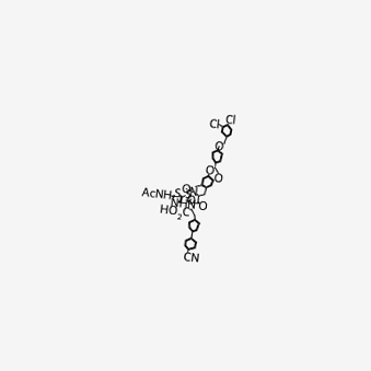 CC(=O)Nc1ncc(S(=O)(=O)N2Cc3cc4c(cc3CC2C(=O)N[C@@H](Cc2ccc(-c3ccc(C#N)cc3)cc2)C(=O)O)OC[C@H](c2ccc(OCc3ccc(Cl)c(Cl)c3)cc2)O4)s1